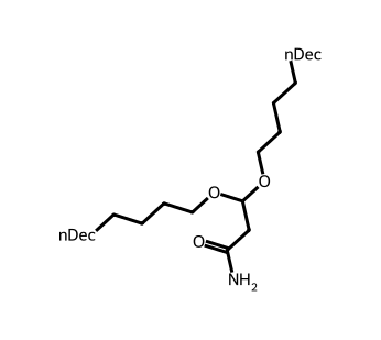 CCCCCCCCCCCCCCOC(CC(N)=O)OCCCCCCCCCCCCCC